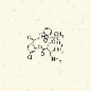 CC(CN)C(C(=O)Oc1cc(Cl)ccc1C(=O)CCc1ccccc1)C(=O)OC(C)(C)C